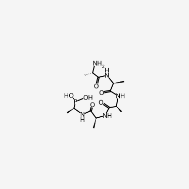 C[C@H](N)C(=O)N[C@@H](C)C(=O)N[C@@H](C)C(=O)N[C@@H](C)C(=O)N[C@@H](C)P(O)O